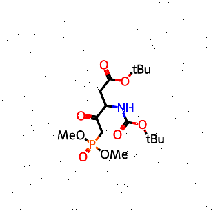 COP(=O)(CC(=O)C(CC(=O)OC(C)(C)C)NC(=O)OC(C)(C)C)OC